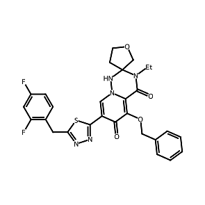 CCN1C(=O)c2c(OCc3ccccc3)c(=O)c(-c3nnc(Cc4ccc(F)cc4F)s3)cn2NC12CCOC2